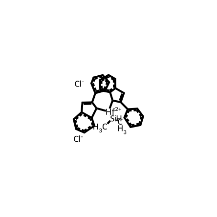 C[SiH](C)[Hf+2]([CH]1C(c2ccccc2)=Cc2ccccc21)[CH]1C(c2ccccc2)=Cc2ccccc21.[Cl-].[Cl-]